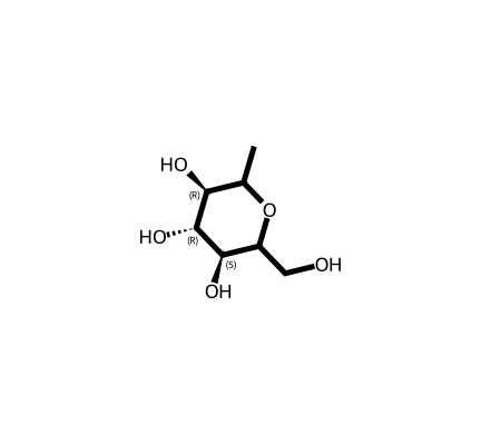 CC1OC(CO)[C@@H](O)[C@H](O)[C@H]1O